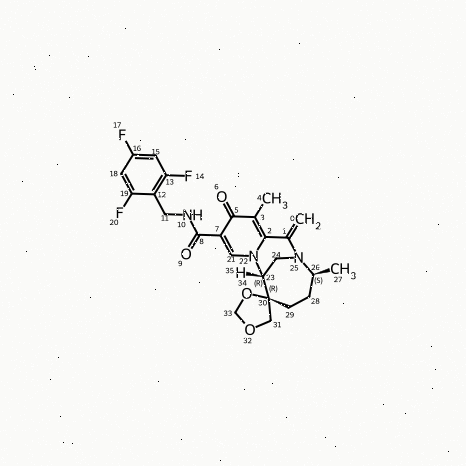 C=C1c2c(C)c(=O)c(C(=O)NCc3c(F)cc(F)cc3F)cn2[C@@H]2CN1[C@@H](C)CC[C@]21COCO1